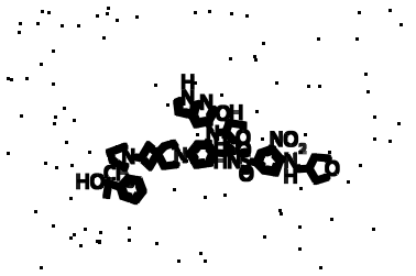 CC(O)(c1ccccc1[C@@H]1CCCN1C1CC2(CCN(c3ccc(C(=O)NS(=O)(=O)c4ccc(NCC5CCOCC5)c([N+](=O)[O-])c4)c(N4c5cc6cc[nH]c6nc5O[C@@H]5COC[C@H]54)c3)CC2)C1)C(F)(F)F